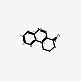 O=C1CCCc2c1cnc1ccccc21